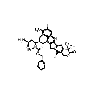 CC[C@@]1(O)C(=O)OCc2c1cc1n(c2=O)Cc2c-1nc1cc(F)c(C)c3c1c2CC(C(CC(N)=O)N(C(=O)OCc1ccccc1)C(C)C)C3